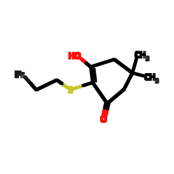 CC(C)CCSC1=C(O)CC(C)(C)CC1=O